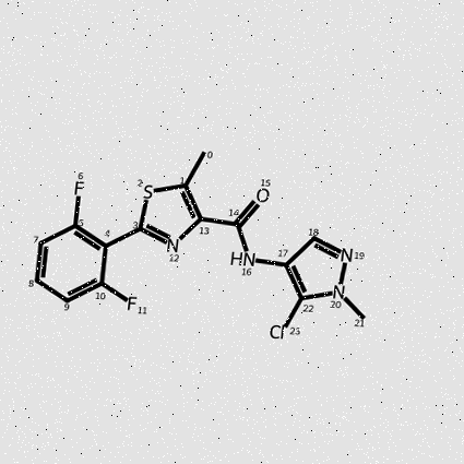 Cc1sc(-c2c(F)cccc2F)nc1C(=O)Nc1cnn(C)c1Cl